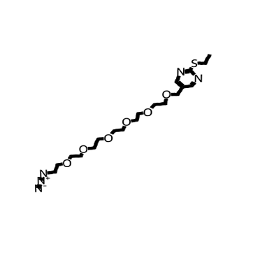 CCSc1ncc(COCCOCCOCCOCCOCCOCCN=[N+]=[N-])cn1